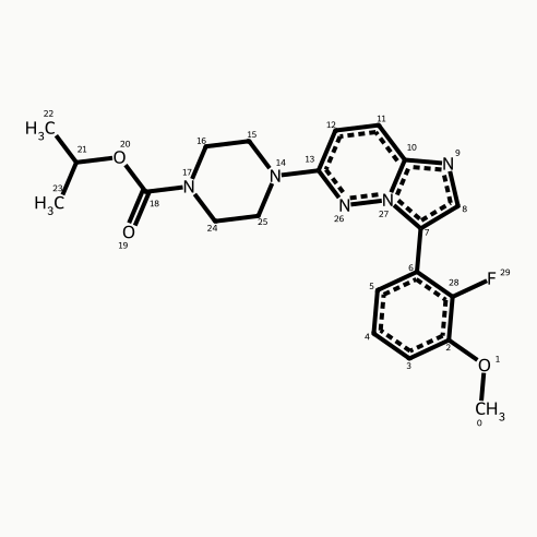 COc1cccc(-c2cnc3ccc(N4CCN(C(=O)OC(C)C)CC4)nn23)c1F